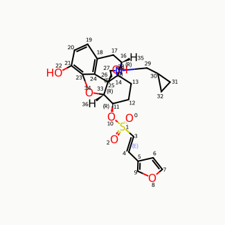 O=S(=O)(/C=C/c1ccoc1)O[C@@H]1CC[C@@]2(O)[C@H]3Cc4ccc(O)c5c4[C@@]2(CCN3CC2CC2)[C@H]1O5